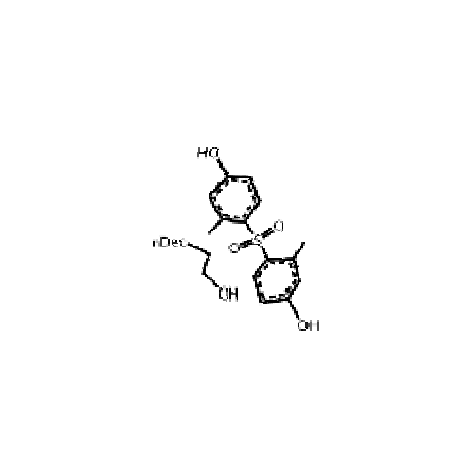 CCCCCCCCCCCCO.Cc1cc(O)ccc1S(=O)(=O)c1ccc(O)cc1C